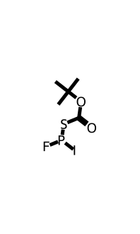 CC(C)(C)OC(=O)SP(F)I